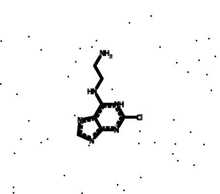 NCCNc1[nH]c(Cl)nc2ncnc1-2